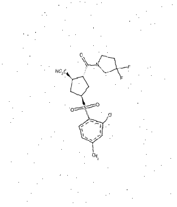 Cc1ccc(S(=O)(=O)[C@H]2C[C@@H](C(=O)O)[C@H](C(=O)N3CCC(F)(F)C3)C2)c(Cl)c1